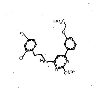 COc1nc(NCCc2ccc(Cl)cc2Cl)cc(-c2cccc(OCC(=O)O)c2)n1